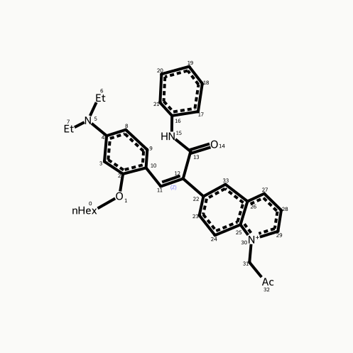 CCCCCCOc1cc(N(CC)CC)ccc1/C=C(\C(=O)Nc1ccccc1)c1ccc2c(ccc[n+]2CC(C)=O)c1